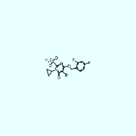 CS(=O)(=O)c1nc(OCc2ccc(F)cc2F)c(Br)c(=O)n1C1CC1